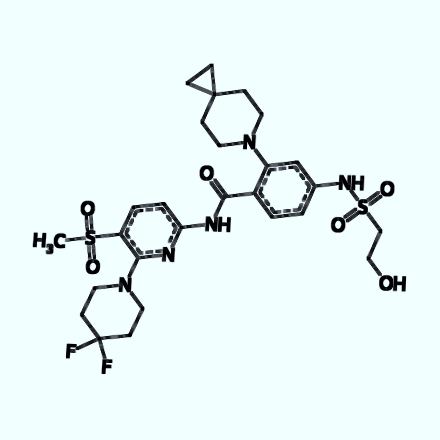 CS(=O)(=O)c1ccc(NC(=O)c2ccc(NS(=O)(=O)CCO)cc2N2CCC3(CC2)CC3)nc1N1CCC(F)(F)CC1